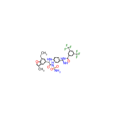 CCc1cc(C(Nc2ccc(C(=N)NC(=O)c3cc(C(F)(F)F)cc(C(F)(F)F)c3)cc2)C(=O)NS(N)(=O)=O)cc2c(C)coc12